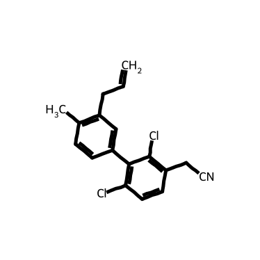 C=CCc1cc(-c2c(Cl)ccc(CC#N)c2Cl)ccc1C